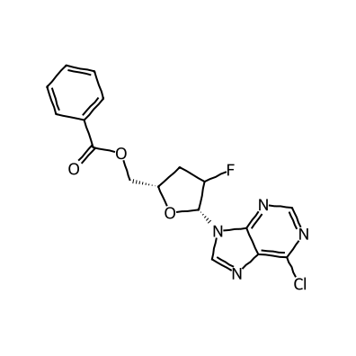 O=C(OC[C@@H]1CC(F)[C@H](n2cnc3c(Cl)ncnc32)O1)c1ccccc1